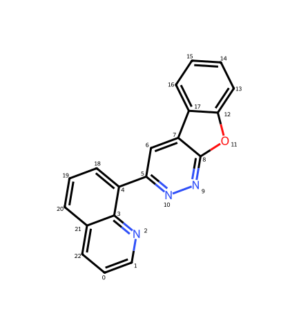 c1cnc2c(-c3cc4c(nn3)oc3ccccc34)cccc2c1